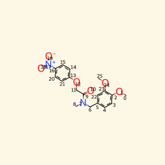 COc1ccc(CN(C)C(=O)COc2ccc([N+](=O)[O-])cc2)cc1OC